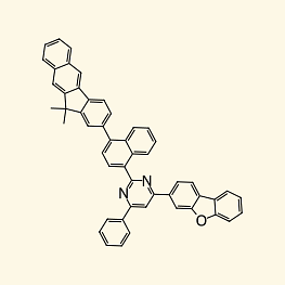 CC1(C)c2cc(-c3ccc(-c4nc(-c5ccccc5)cc(-c5ccc6c(c5)oc5ccccc56)n4)c4ccccc34)ccc2-c2cc3ccccc3cc21